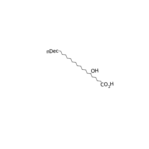 CCCCCCCCCCCCCCCCCCCCCCC(O)CCCCC(=O)O